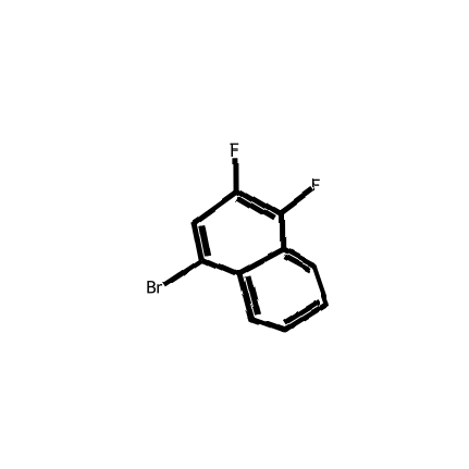 Fc1cc(Br)c2ccccc2c1F